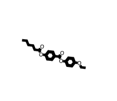 CCCCCC(=O)Oc1ccc(C(=O)Oc2ccc(OCC)cc2)cc1